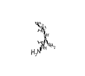 NCCCNCCNCCNCCN(CCN)CCNCCNCCN